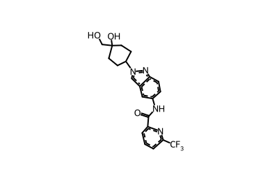 O=C(Nc1ccc2nn(C3CCC(O)(CO)CC3)cc2c1)c1cccc(C(F)(F)F)n1